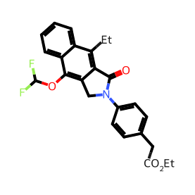 CCOC(=O)Cc1ccc(N2Cc3c(c(CC)c4ccccc4c3OC(F)F)C2=O)cc1